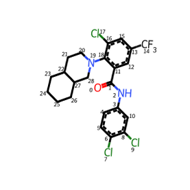 O=C(Nc1ccc(Cl)c(Cl)c1)c1cc(C(F)(F)F)cc(Cl)c1N1CCC2CCCCC2C1